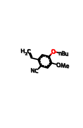 C=Cc1cc(OCCCC)c(OC)cc1C#N